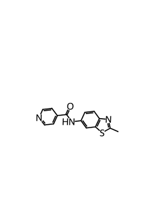 Cc1nc2ccc(NC(=O)c3ccncc3)cc2s1